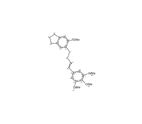 COc1cc2c(cc1CCN=Cc1cc(OC)c(OC)c(OC)c1)CCC2